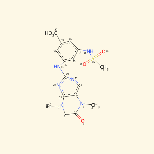 CC(C)N1CC(=O)N(C)c2cnc(Nc3cc(NS(C)(=O)=O)cc(C(=O)O)c3)nc21